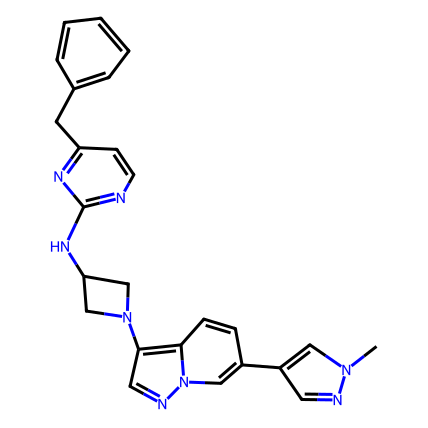 Cn1cc(-c2ccc3c(N4CC(Nc5nccc(Cc6ccccc6)n5)C4)cnn3c2)cn1